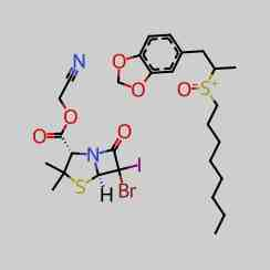 CC1(C)S[C@H]2N(C(=O)C2(Br)I)[C@H]1C(=O)OCC#N.CCCCCCCC[S+]([O-])C(C)Cc1ccc2c(c1)OCO2